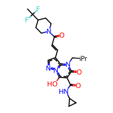 CC(C)Cn1c(=O)c(C(=O)NC2CC2)c(O)n2ncc(C=CC(=O)N3CCC(C(C)(F)F)CC3)c12